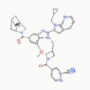 COc1cc(C(=O)N2CC3CC4CC2[C@H]43)cc2nc(-c3cc4cccnc4n3CC3CC3)n(CC3CN(C(=O)c4ccnc(C#N)c4)C3)c12